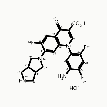 Cl.Nc1cc(-n2cc(C(=O)O)c(=O)c3cc(F)c(N4CC5CNCC5C4)cc32)c(F)cc1F